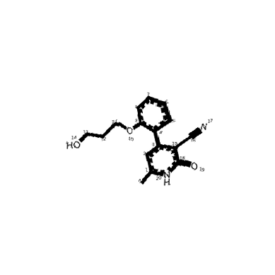 Cc1cc(-c2ccccc2OCCCO)c(C#N)c(=O)[nH]1